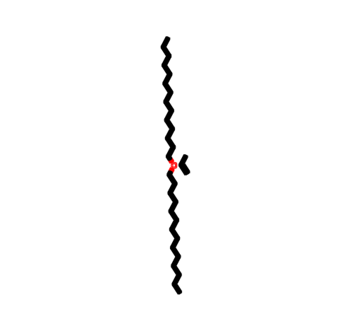 C=CC.CCCCCCCCCCCCCCOCCCCCCCCCCCCCC